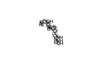 O=C(O)Nc1nc2ccc(-c3ccc4c(c3)CN(C(=O)N3CCC(O)(c5cccc(C(F)(F)F)c5)CC3)CCO4)cc2[nH]1